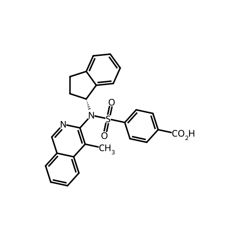 Cc1c(N([C@@H]2CCc3ccccc32)S(=O)(=O)c2ccc(C(=O)O)cc2)ncc2ccccc12